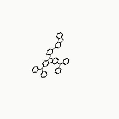 c1ccc(N(c2ccccc2)c2ccc3c(c2)c2cc(N(c4ccccc4)c4ccccc4)ccc2n3-c2cc(-c3ccc4oc5ccccc5c4c3)ccn2)cc1